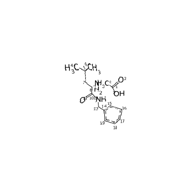 CC(=O)O.CC(C)C[C@H](N)C(=O)NCc1ccccc1